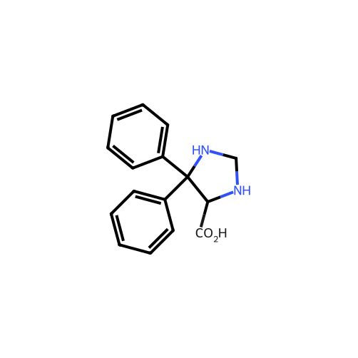 O=C(O)C1NCNC1(c1ccccc1)c1ccccc1